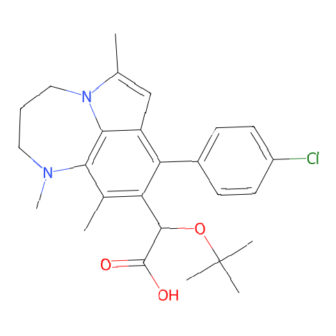 Cc1c(C(OC(C)(C)C)C(=O)O)c(-c2ccc(Cl)cc2)c2cc(C)n3c2c1N(C)CCC3